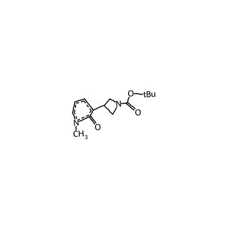 Cn1cccc(C2CN(C(=O)OC(C)(C)C)C2)c1=O